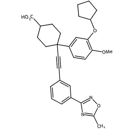 COc1ccc(C2(C#Cc3cccc(-c4noc(C)n4)c3)CCC(C(=O)O)CC2)cc1OC1CCCC1